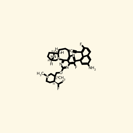 C#Cc1c(F)ccc2cc(N)cc(-c3nc4c5c(nc(OC[C@]6(C)CN(C)CC[C@@H]6C(F)F)nc5c3F)N3C[C@H]5CC[C@H](N5)[C@H]3CCC4)c12